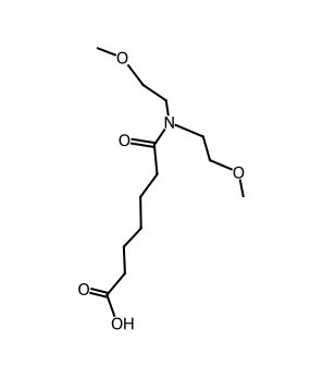 COCCN(CCOC)C(=O)CCCCCC(=O)O